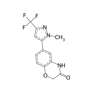 Cn1nc(C(F)(F)F)cc1-c1ccc2c(c1)NC(=O)CO2